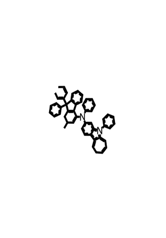 C/C=C\C(=C/C)C1(c2ccccc2)C2=C(C(N(c3ccccc3)c3ccc4c5c(n(-c6ccccc6)c4c3)=CC=CCC=5)=CC(C)C2)c2ccccc21